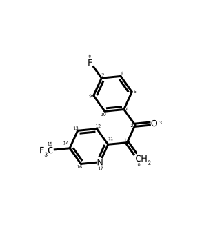 C=C(C(=O)c1ccc(F)cc1)c1ccc(C(F)(F)F)cn1